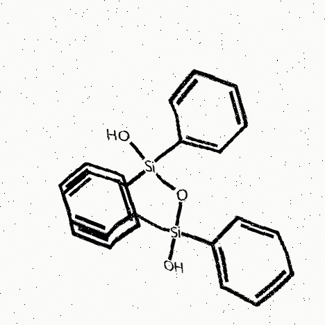 O[Si](O[Si](O)(c1ccccc1)c1ccccc1)(c1ccccc1)c1ccccc1